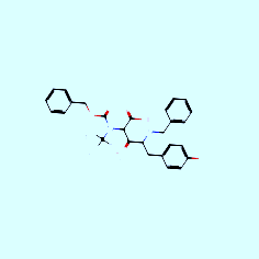 CC(C)(C)N(C(=O)OCc1ccccc1)C(C(=O)O)C(=O)C(Cc1ccc(O)cc1)NCc1ccccc1